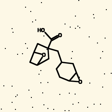 O=C(O)C1(CC2CCC3OC3C2)CC2CC(C1)O2